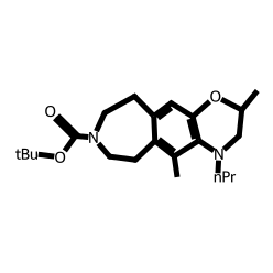 CCCN1CC(C)Oc2cc3c(c(C)c21)CCN(C(=O)OC(C)(C)C)CC3